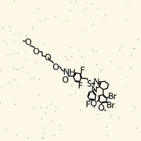 COCCOCCOCCOCCNC(=O)c1cc(F)c(CSc2nc3c(n2-c2ccc(F)cc2)C(c2cc(OC)c(OC)c(Br)c2Br)CCC3)c(F)c1